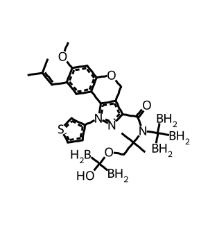 BC(B)(O)OCC(C)(C)N(C(=O)c1nn(-c2ccsc2)c2c1COc1cc(OC)c(C=C(C)C)cc1-2)C(B)(B)B